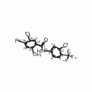 O=C(Nc1ccc(C(F)(F)F)c(Cl)c1)c1cc(Cl)c(F)cc1O